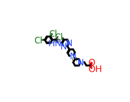 C[C@@H](Nc1nc(C2=CCN([C@H]3CCCN(CCC(=O)O)C3)CC2)ncc1Cl)c1ccc(Cl)cc1Cl